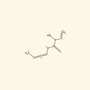 C=CC(O)C(=O)OC=C=CC